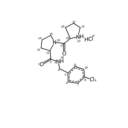 Cl.O=C(NCc1ccc(Cl)cc1)C1CCCN1C(=O)C1CCCN1